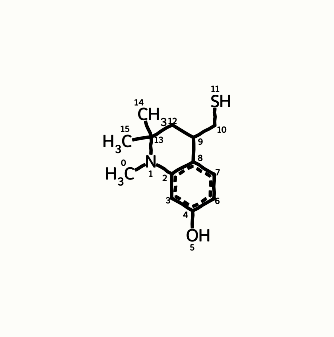 CN1c2cc(O)ccc2C(CS)CC1(C)C